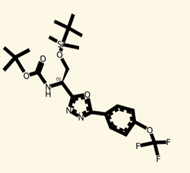 CC(C)(C)OC(=O)N[C@@H](CO[Si](C)(C)C(C)(C)C)c1nnc(-c2ccc(OC(F)(F)F)cc2)o1